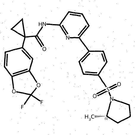 C[C@H]1CCCN1S(=O)(=O)c1ccc(-c2cccc(NC(=O)C3(c4ccc5c(c4)OC(F)(F)O5)CC3)n2)cc1